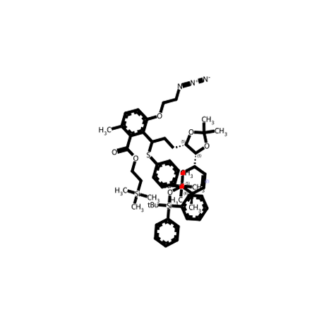 Cc1ccc(OCCN=[N+]=[N-])c(C(CC[C@@H]2OC(C)(C)O[C@@H]2C(/C=C\[C@@H](C)[C@H](C)O[Si](c2ccccc2)(c2ccccc2)C(C)(C)C)O[Si](C)(C)C(C)(C)C)Sc2ccccc2)c1C(=O)OCC[Si](C)(C)C